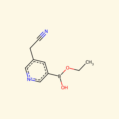 CCOB(O)c1cncc(CC#N)c1